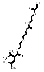 C=CC(=O)OCCNC(=O)OCCOCCOC(=O)C(C=C(C)C)=C(C)C